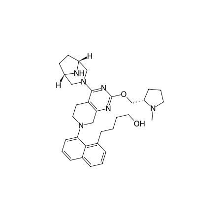 CN1CCC[C@H]1COc1nc2c(c(N3C[C@H]4CC[C@@H](C3)N4)n1)CCN(c1cccc3cccc(CCCCO)c13)C2